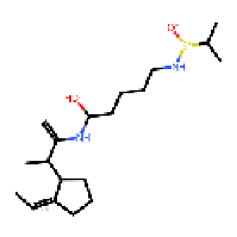 C=C(NC(O)CCCCN[S+]([O-])C(C)C)C(C)C1CCC/C1=C/C